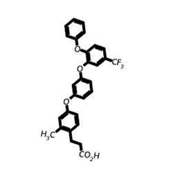 Cc1cc(Oc2cccc(Oc3cc(C(F)(F)F)ccc3Oc3ccccc3)c2)ccc1CCC(=O)O